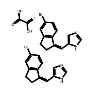 Brc1ccc2c(c1)CC/C2=C/c1cnc[nH]1.Brc1ccc2c(c1)CC/C2=C/c1cnc[nH]1.O=C(O)C(=O)O